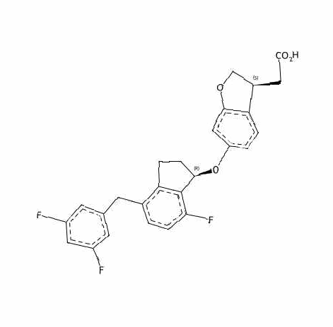 O=C(O)C[C@@H]1COc2cc(O[C@@H]3CCc4c(Cc5cc(F)cc(F)c5)ccc(F)c43)ccc21